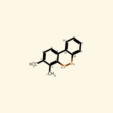 Cc1ccc2c(c1C)SSc1ccccc1-2